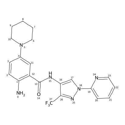 Nc1ccc(N2CCCCC2)cc1C(=O)Nc1cn(-c2ccccn2)nc1C(F)(F)F